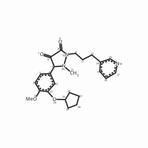 COc1ccc(C2C(=O)C(=O)N(CCCc3cccnc3)N2C)cc1OC1CCCC1